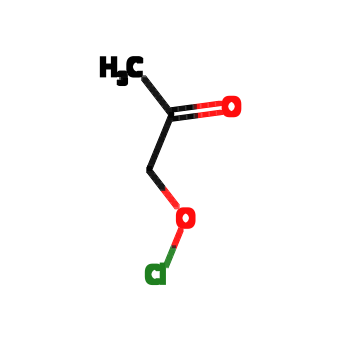 CC(=O)COCl